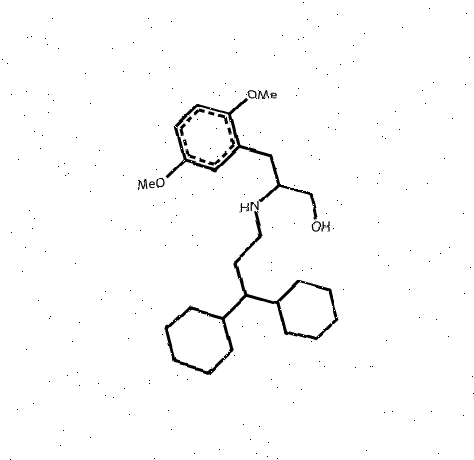 COc1ccc(OC)c(CC(CO)NCCC(C2CCCCC2)C2CCCCC2)c1